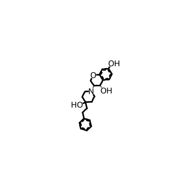 Oc1ccc2c(c1)OC[C@@H](N1CCC(O)(CCc3ccccc3)CC1)[C@H]2O